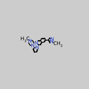 CN1CCN(C2C=CC=CN2c2cc3cc(-c4cnn(C)c4)ccc3cn2)CC1